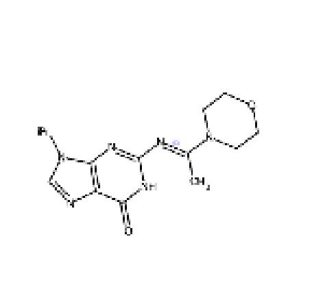 C/C(=N\c1nc2c(ncn2C(C)C)c(=O)[nH]1)N1CCOCC1